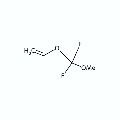 C=COC(F)(F)OC